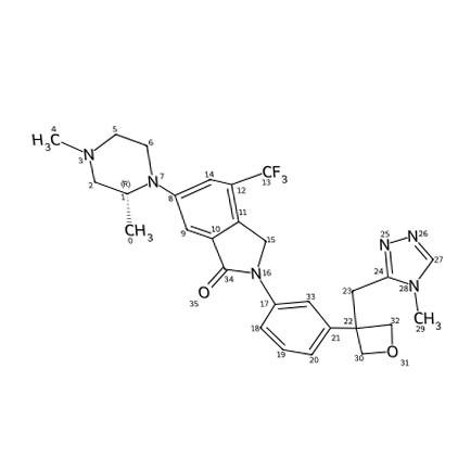 C[C@@H]1CN(C)CCN1c1cc2c(c(C(F)(F)F)c1)CN(c1cccc(C3(Cc4nncn4C)COC3)c1)C2=O